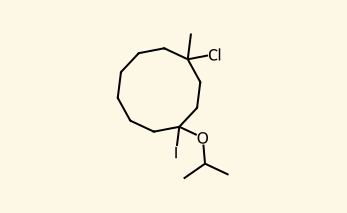 CC(C)OC1(I)CCCCCCC(C)(Cl)CC1